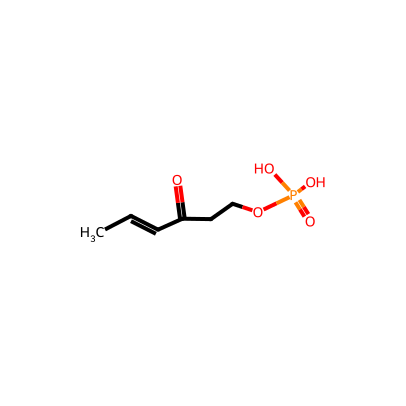 CC=CC(=O)CCOP(=O)(O)O